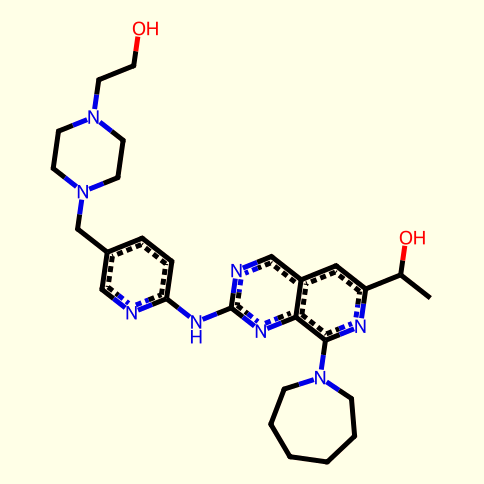 CC(O)c1cc2cnc(Nc3ccc(CN4CCN(CCO)CC4)cn3)nc2c(N2CCCCCC2)n1